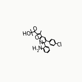 Cc1c(C(=O)C(C)(C)O)oc2nc(-c3ccccc3N)c(-c3ccc(Cl)cc3)cc12